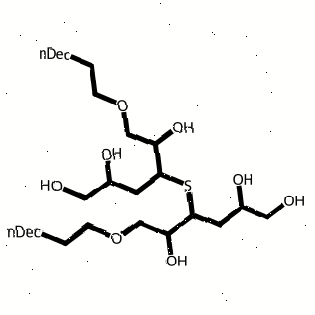 CCCCCCCCCCCCOCC(O)C(CC(O)CO)SC(CC(O)CO)C(O)COCCCCCCCCCCCC